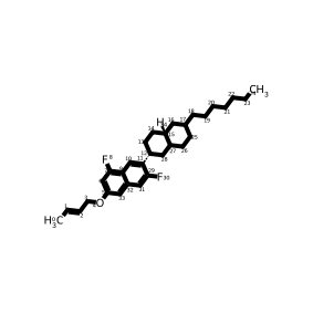 C/C=C/COc1cc(F)c2cc([C@@H]3CC[C@@H]4CC(CCCCCCC)CCC4C3)c(F)cc2c1